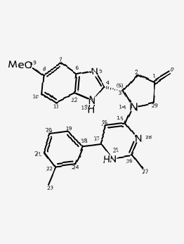 C=C1C[C@@H](c2nc3cc(OC)ccc3[nH]2)N(C2=[C]C(c3cccc(C)c3)NC(C)=N2)C1